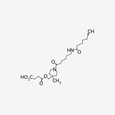 C#CCCCCC(=O)NCCCCCC(=O)N1CCC(C)(COC(=O)CCC(=O)O)CC1